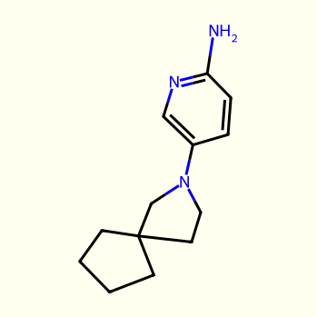 Nc1ccc(N2CCC3(CCCC3)C2)cn1